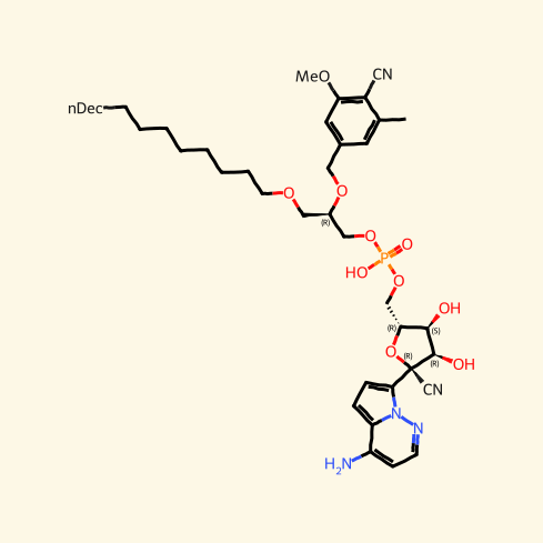 CCCCCCCCCCCCCCCCCCOC[C@H](COP(=O)(O)OC[C@H]1O[C@@](C#N)(c2ccc3c(N)ccnn23)[C@H](O)[C@@H]1O)OCc1cc(C)c(C#N)c(OC)c1